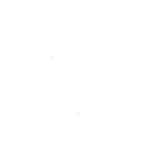 Cc1cc2ncnc(Oc3ccc(N)cc3)c2cc1C